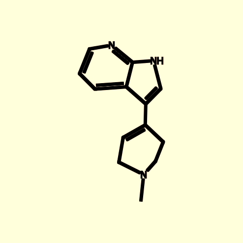 CN1CC=C(c2c[nH]c3ncccc23)CC1